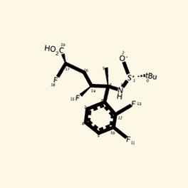 CC(C)(C)[S@@+]([O-])N[C@](C)(c1cccc(F)c1F)[C@@H](F)C[C@@H](F)C(=O)O